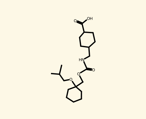 CC(C)COC1(COC(=O)NCC2CCC(C(=O)O)CC2)CCCCC1